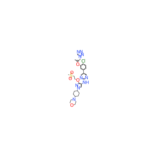 C[C@@H](Cn1cnnn1)Oc1cc(-c2cnc(Nc3cn(C4CCC(N5CCOCC5)CC4)nc3OCCS(C)(=O)=O)nc2)ccc1Cl